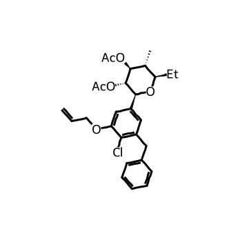 C=CCOc1cc([C@@H]2O[C@H](CC)[C@@H](C)[C@H](OC(C)=O)[C@H]2OC(C)=O)cc(Cc2ccccc2)c1Cl